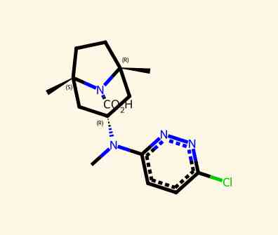 CN(c1ccc(Cl)nn1)[C@@H]1C[C@]2(C)CC[C@](C)(C1)N2C(=O)O